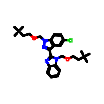 C[Si](C)(C)CCOCn1nc(-c2nc3ccccc3n2COCC[Si](C)(C)C)c2cc(Cl)ccc21